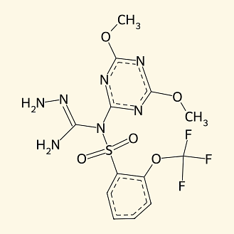 COc1nc(OC)nc(N(C(N)=NN)S(=O)(=O)c2ccccc2OC(F)(F)F)n1